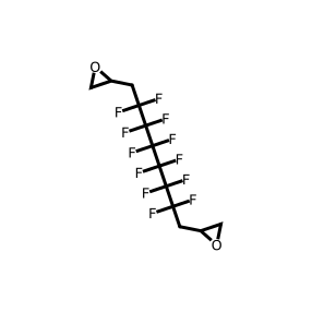 FC(F)(CC1CO1)C(F)(F)C(F)(F)C(F)(F)C(F)(F)C(F)(F)CC1CO1